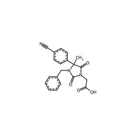 CC1(c2ccc(C#N)cc2)C(=O)N(CC(=O)O)C(=O)N1Cc1ccccc1